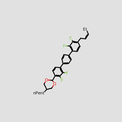 CC/C=C\Cc1ccc(-c2ccc(-c3ccc(C4OCC(CCCCC)CO4)c(F)c3F)cc2)c(F)c1F